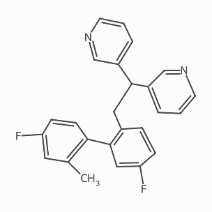 Cc1cc(F)ccc1-c1cc(F)ccc1CC(c1cccnc1)c1cccnc1